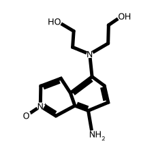 Nc1ccc(N(CCO)CCO)c2cc[n+]([O-])cc12